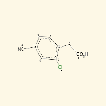 N#Cc1ccc(CC(=O)O)c(Cl)c1